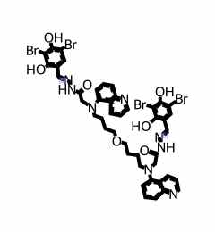 O=C(CN(CCCCOCCCCN(CC(=O)N/N=C/c1cc(Br)c(O)c(Br)c1O)c1cccc2ncccc12)c1cccc2ncccc12)N/N=C/c1cc(Br)c(O)c(Br)c1O